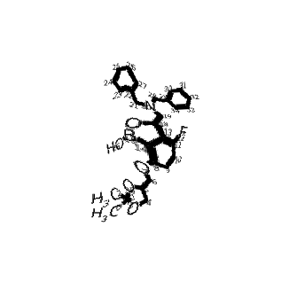 CC1(C)OCC(COc2ccc(F)c3c2B(O)OC3CN(Cc2ccccc2)Cc2ccccc2)O1